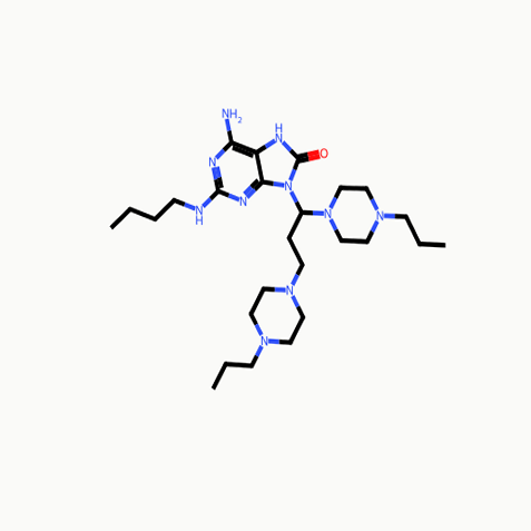 CCCCNc1nc(N)c2[nH]c(=O)n(C(CCN3CCN(CCC)CC3)N3CCN(CCC)CC3)c2n1